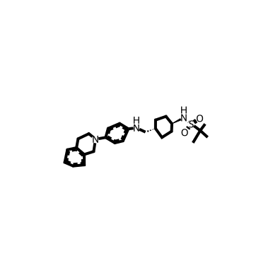 CC(C)(C)S(=O)(=O)N[C@H]1CC[C@H](CNc2ccc(N3CCc4ccccc4C3)cc2)CC1